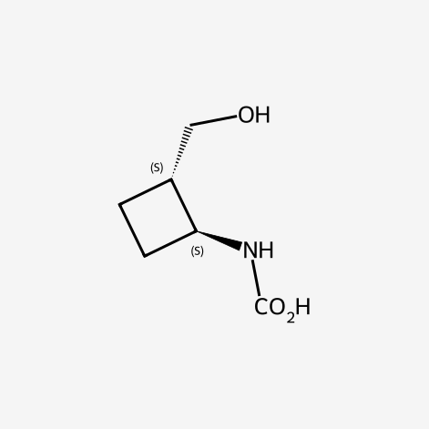 O=C(O)N[C@H]1CC[C@@H]1CO